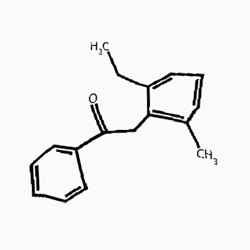 CCc1cccc(C)c1CC(=O)c1ccccc1